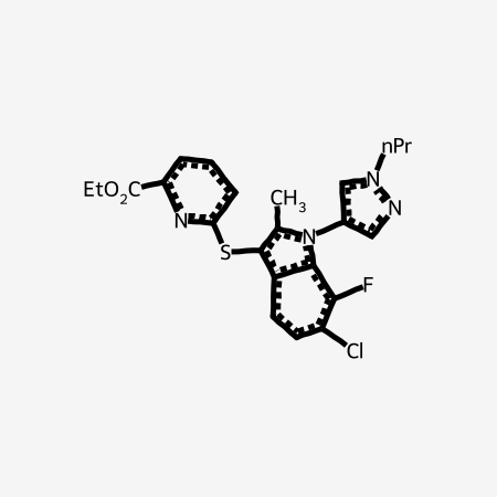 CCCn1cc(-n2c(C)c(Sc3cccc(C(=O)OCC)n3)c3ccc(Cl)c(F)c32)cn1